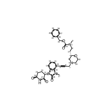 CN(CC[C@H]1CN(CC#Cc2cccc3c2n(C)c(=O)n3C2CCC(=O)NC2=O)CCO1)C(=O)OCc1ccccc1